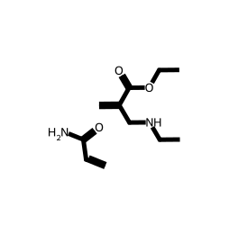 C=C(CNCC)C(=O)OCC.C=CC(N)=O